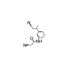 CC(CC#N)C1=CCCC(NC(=O)CC#N)=C1